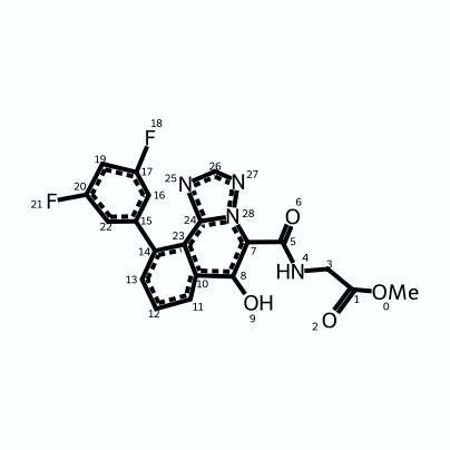 COC(=O)CNC(=O)c1c(O)c2cccc(-c3cc(F)cc(F)c3)c2c2ncnn12